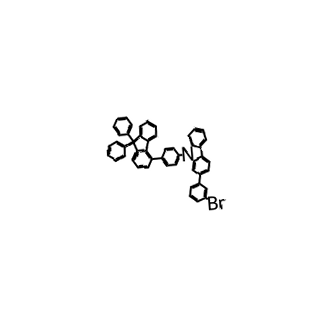 Brc1cccc(-c2ccc3c4ccccc4n(-c4ccc(-c5cccc6c5-c5ccccc5C6(c5ccccc5)c5ccccc5)cc4)c3c2)c1